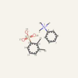 C[N+](C)(C)c1ccccc1.Cc1cccc(S(=O)(=O)[O-])c1C